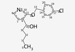 CCCCC(O)c1ccncc1OCc1ccc(Cl)cc1